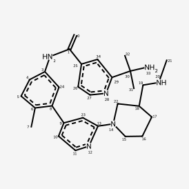 C=C(Nc1ccc(C)c(-c2ccnc(N3CCCC(CNC)C3)c2)c1)c1ccnc(C(C)(C)N)c1